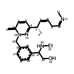 C=C1C=CC([C@@H](C)/C=C\C/C=N\C)=NN1Cc1cccc(C(CO)NCC)c1